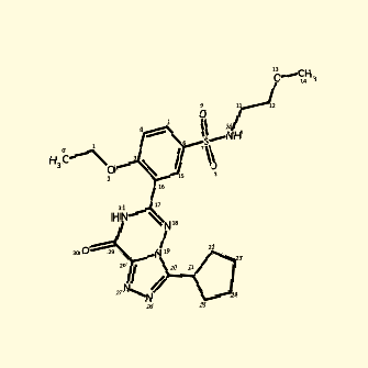 CCOc1ccc(S(=O)(=O)NCCOC)cc1-c1nn2c(C3CCCC3)nnc2c(=O)[nH]1